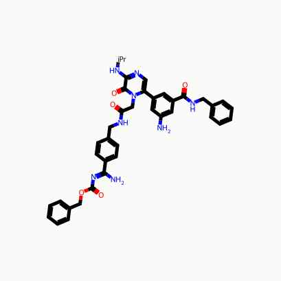 CC(C)Nc1ncc(-c2cc(N)cc(C(=O)NCc3ccccc3)c2)n(CC(=O)NCc2ccc(/C(N)=N/C(=O)OCc3ccccc3)cc2)c1=O